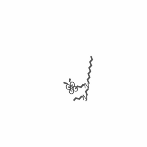 CCCCCCCCCCN(CCCOP(=O)(OCC)OCC)CCCN(C)CCCC